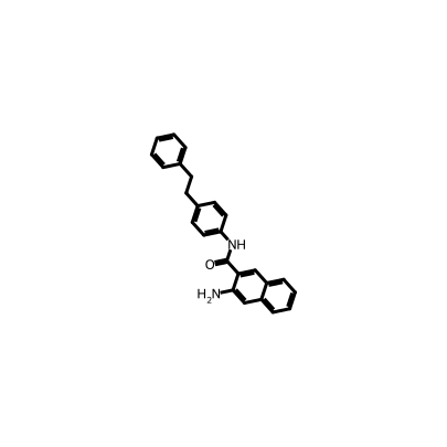 Nc1cc2ccccc2cc1C(=O)Nc1ccc(CCc2ccccc2)cc1